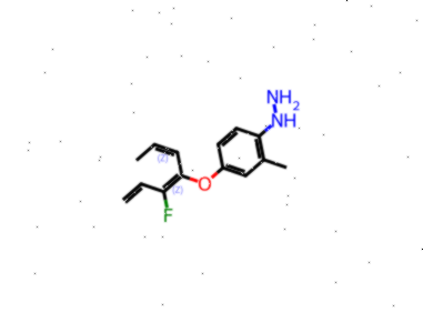 C=C/C(F)=C(\C=C/C)Oc1ccc(NN)c(C)c1